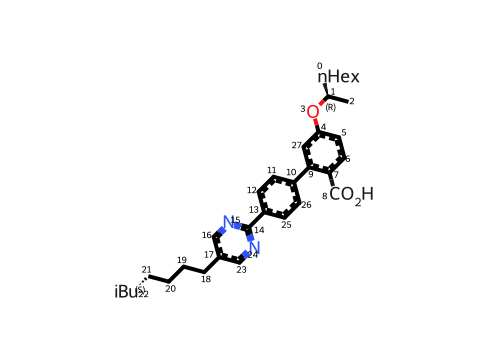 CCCCCC[C@@H](C)Oc1ccc(C(=O)O)c(-c2ccc(-c3ncc(CCCC[C@@H](C)CC)cn3)cc2)c1